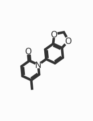 Cc1ccc(=O)n(-c2ccc3c(c2)OCO3)c1